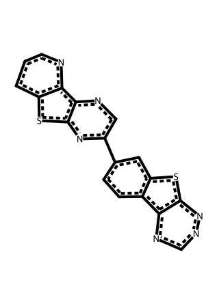 c1cnc2c(c1)sc1nc(-c3ccc4c(c3)sc3nncnc34)cnc12